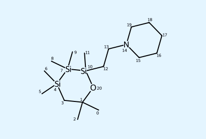 CC1(C)C[Si](C)(C)[Si](C)(C)[Si](C)(CCN2CCCCC2)O1